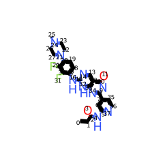 C=CC(=O)Nc1cc(-c2nc(=O)c3cnc(Nc4ccc(N5CCN(C)CC5)c(F)c4F)nc3[nH]2)ccn1